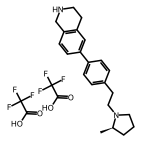 C[C@@H]1CCCN1CCc1ccc(-c2ccc3c(c2)CCNC3)cc1.O=C(O)C(F)(F)F.O=C(O)C(F)(F)F